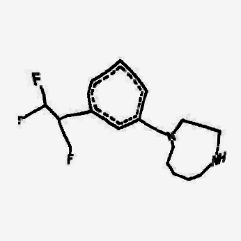 FC(F)C(F)c1cccc(N2CCNCC2)c1